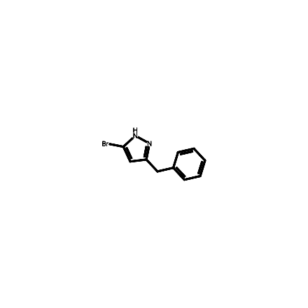 Brc1cc(Cc2ccccc2)n[nH]1